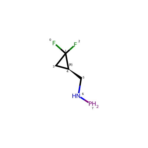 FC1(F)C[C@@H]1CNP